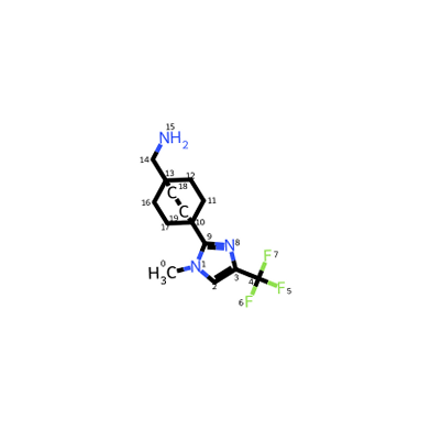 Cn1cc(C(F)(F)F)nc1C12CCC(CN)(CC1)CC2